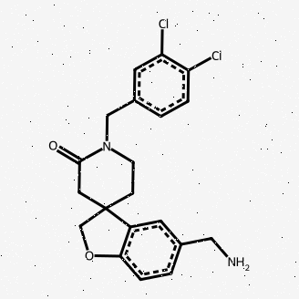 NCc1ccc2c(c1)C1(CCN(Cc3ccc(Cl)c(Cl)c3)C(=O)C1)CO2